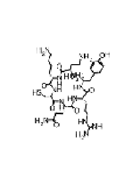 N=C(N)NCCC[C@H](NC(=O)[C@H](CCC(N)=O)NC(=O)[C@H](CS)NC(=O)[C@H](CCCCN)NC(=O)[C@@H](N)CCN)C(=O)N[C@@H](Cc1ccc(O)cc1)C(=O)O